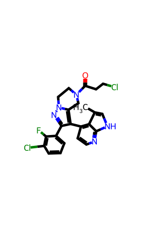 Cc1c[nH]c2nccc(-c3c(-c4cccc(Cl)c4F)nn4c3CN(C(=O)CCCl)CC4)c12